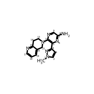 Cn1ccc(-c2nc(N)cnc2N2CCc3ncccc3C2)n1